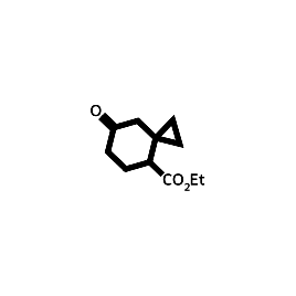 CCOC(=O)C1CCC(=O)CC12CC2